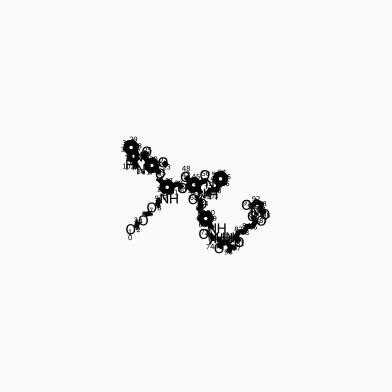 COCCOCCOCCNc1cc(COc2cc3c(cc2OC)C(=O)N2c4ccccc4C[C@H]2C=N3)cc(COc2cc3c(cc2OC)C(=O)N2c4ccccc4C[C@H]2CN3C(=O)OCc2ccc(NC(=O)[C@H](C)NC(=O)[C@@H](NC(=O)CCCCC(=O)ON3C(=O)CCC3=O)C(C)C)cc2)c1